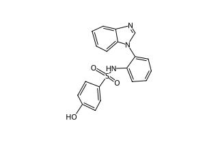 O=S(=O)(Nc1ccccc1-n1cnc2ccccc21)c1ccc(O)cc1